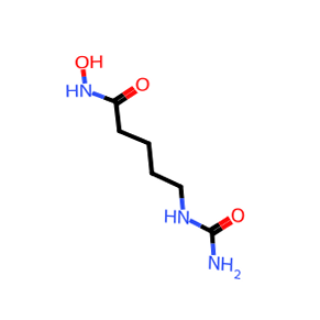 NC(=O)NCCCCC(=O)NO